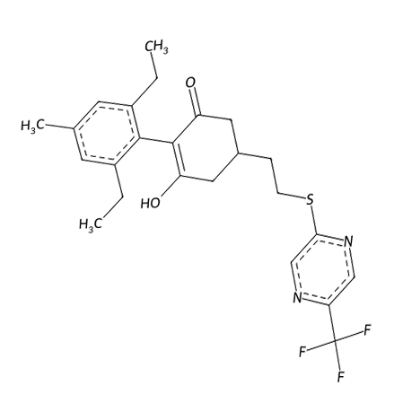 CCc1cc(C)cc(CC)c1C1=C(O)CC(CCSc2cnc(C(F)(F)F)cn2)CC1=O